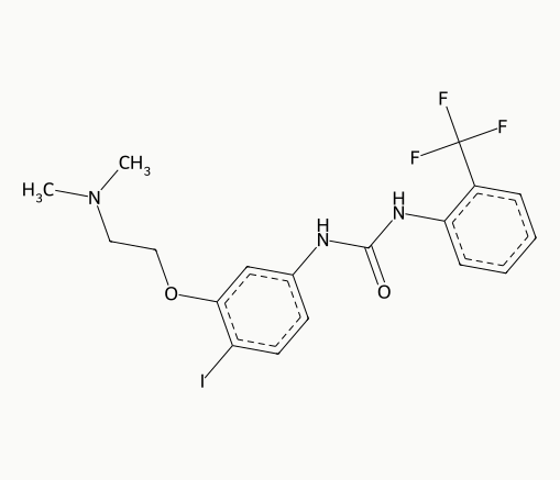 CN(C)CCOc1cc(NC(=O)Nc2ccccc2C(F)(F)F)ccc1I